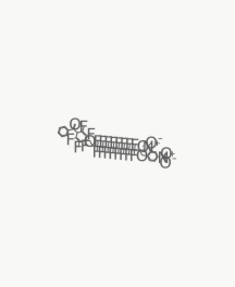 O=C(c1ccccc1)C1C(F)=C(F)C(F)(OCC(F)(F)C(F)(F)C(F)(F)C(F)(F)C(F)(F)C(F)(F)C(F)(F)C(F)(F)COc2ccc([N+](=O)[O-])cc2[N+](=O)[O-])C(F)=C1F